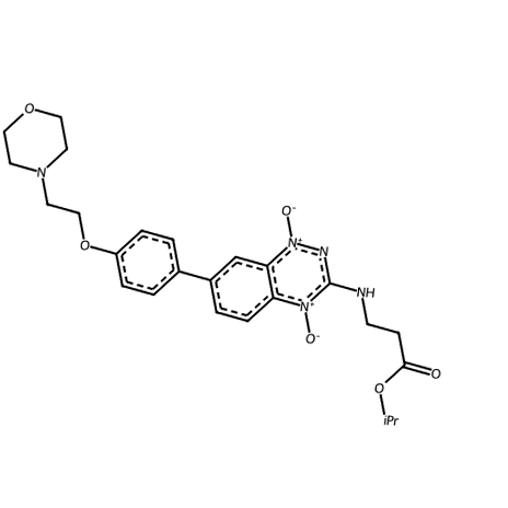 CC(C)OC(=O)CCNc1n[n+]([O-])c2cc(-c3ccc(OCCN4CCOCC4)cc3)ccc2[n+]1[O-]